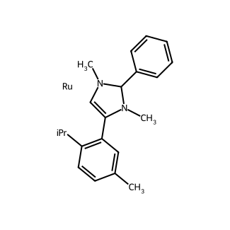 Cc1ccc(C(C)C)c(C2=CN(C)C(c3ccccc3)N2C)c1.[Ru]